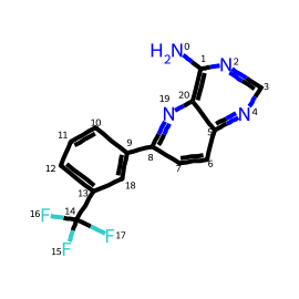 Nc1ncnc2ccc(-c3cccc(C(F)(F)F)c3)nc12